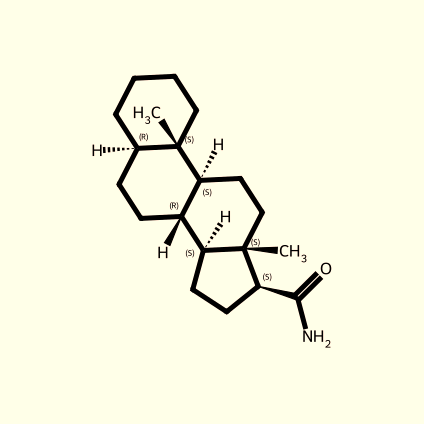 C[C@]12CCCC[C@@H]1CC[C@@H]1[C@@H]2CC[C@]2(C)[C@@H](C(N)=O)CC[C@@H]12